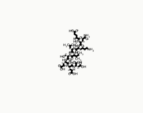 CC[C@H](C)[C@H](NC(=O)[C@H](CC(C)C)NC(=O)[C@H](CCCCN)NC(=O)[C@H](CCC(N)=O)NC(=O)[C@@H](N)CCC(=O)O)C(=O)N[C@@H](CO)C(=O)N[C@@H](CCC(=O)O)C(=O)N[C@@H](CCC(=O)O)C(=O)N[C@@H](CC(=O)O)C(=O)O